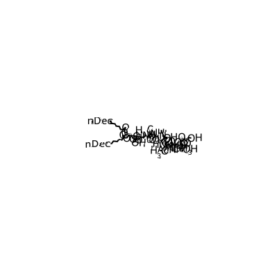 CCCCCCCCCCCCCCCC(=O)OC[C@H](COP(=O)(O)OCCNC(=O)[C@H](C)NC(=O)CC[C@@H](NC(=O)[C@H](C)NC(=O)[C@@H](C)O[C@H]1[C@H](O)[C@@H](CO)OC(O)[C@@H]1NC(C)=O)C(N)=O)OC(=O)CCCCCCCCCCCCCCC